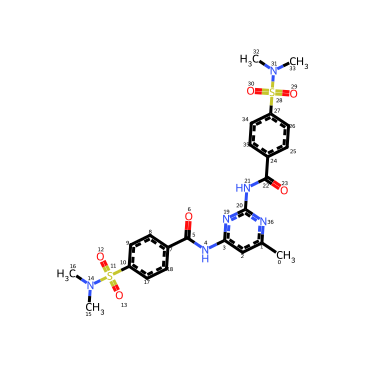 Cc1cc(NC(=O)c2ccc(S(=O)(=O)N(C)C)cc2)nc(NC(=O)c2ccc(S(=O)(=O)N(C)C)cc2)n1